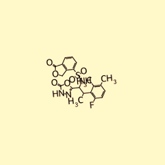 Cc1ccc(F)c(C(C)C(NS(=O)(=O)c2cccc3c2COC3=O)c2n[nH]c(=O)o2)c1C